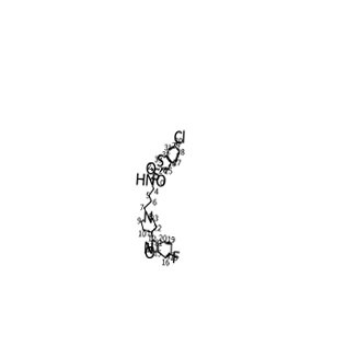 O=S(=O)(NCCCCN1CCC(c2noc3cc(F)ccc23)CC1)c1cc2ccc(Cl)cc2s1